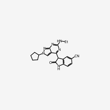 CCNc1nc(C2C(=O)Nc3ccc(C#N)cc32)c2cn(C3CCCC3)nc2n1